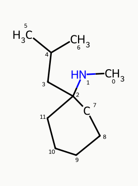 CNC1(CC(C)C)CCCCC1